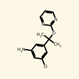 CC(C)(Oc1ncccn1)c1cc(N)cc(Cl)c1